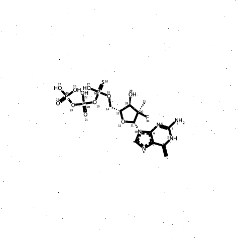 C=C1NC(N)=Nc2c1ncn2[C@@H]1O[C@H](COP(O)(=S)OP(=O)(O)OP(=O)(O)O)[C@@H](O)[C@@]1(C)F